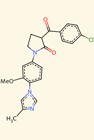 COc1cc(N2CCC(C(=O)c3ccc(Cl)cc3)C2=O)ccc1-n1cnc(C)c1